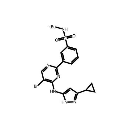 CC(C)(C)NS(=O)(=O)c1cccc(-c2ncc(Br)c(Nc3cc(C4CC4)n[nH]3)n2)c1